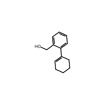 OCc1ccccc1C1=CCCCC1